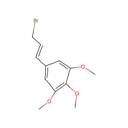 COc1cc(C=CCBr)cc(OC)c1OC